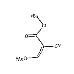 CCCCOC(=O)/C(C#N)=C\OC